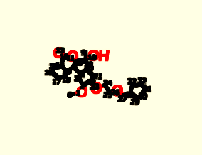 COc1cc(-c2c(C(C)(C)O)oc(=O)c3ccccc23)ccc1OCCOCc1ccccc1